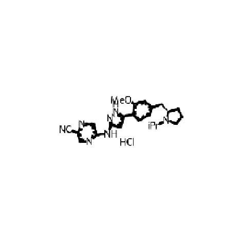 COc1cc(C[C@H]2CCCN2C(C)C)ccc1-c1cc(Nc2cnc(C#N)cn2)n[nH]1.Cl